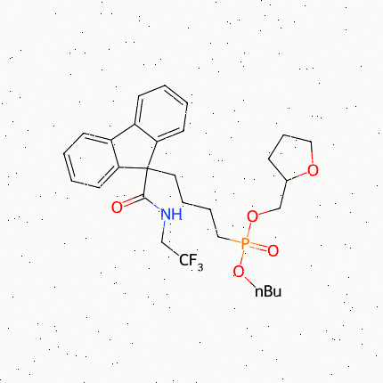 CCCCOP(=O)(CCCCC1(C(=O)NCC(F)(F)F)c2ccccc2-c2ccccc21)OCC1CCCO1